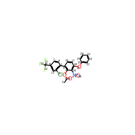 CCOc1c(-c2ccc(C(F)(F)F)cc2Cl)ccc(Oc2ccccc2)c1[N+](=O)[O-]